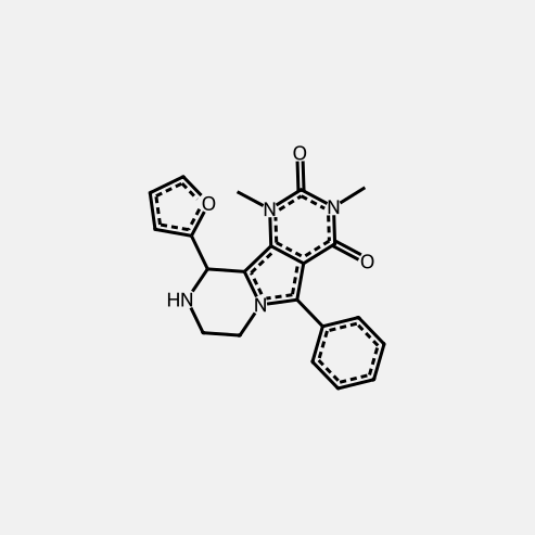 Cn1c(=O)c2c(-c3ccccc3)n3c(c2n(C)c1=O)C(c1ccco1)NCC3